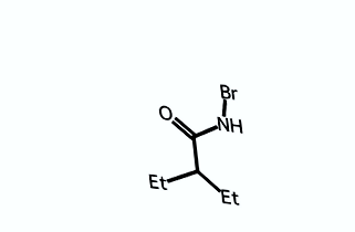 CCC(CC)C(=O)NBr